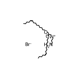 CCCC/C=C\CCCCCCCCOCC(C[N+](C)(C)CCCN)OCCCCCCCC/C=C\CCCC.[Br-]